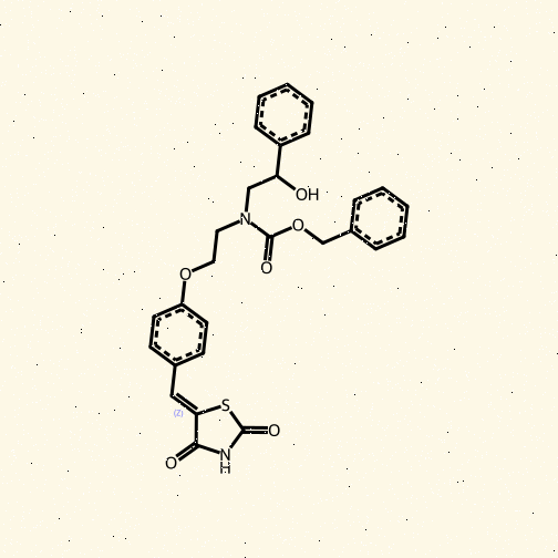 O=C1NC(=O)/C(=C/c2ccc(OCCN(CC(O)c3ccccc3)C(=O)OCc3ccccc3)cc2)S1